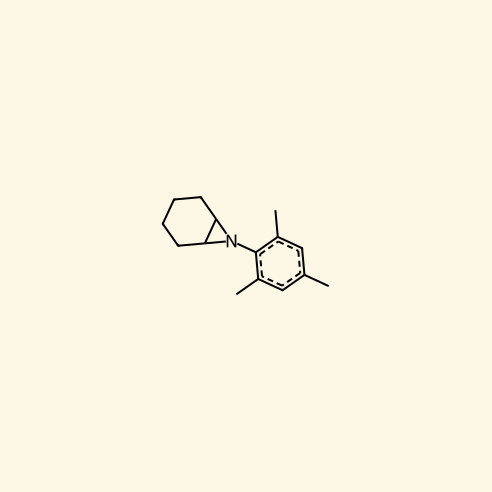 Cc1cc(C)c(N2C3CCCCC32)c(C)c1